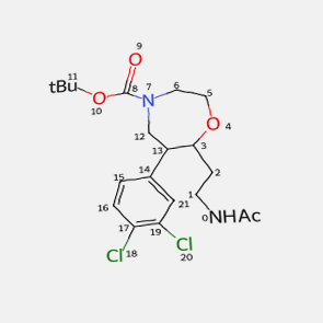 CC(=O)NCCC1OCCN(C(=O)OC(C)(C)C)CC1c1ccc(Cl)c(Cl)c1